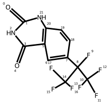 O=c1[nH]c(=O)c2cc(C(F)(C(F)(F)F)C(F)(F)F)ccc2[nH]1